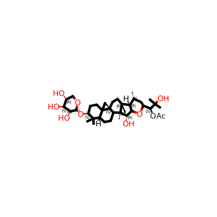 CC(=O)O[C@@H](C1C[C@@H](C)[C@H]2C(O1)[C@H](O)[C@@]1(C)C3CC[C@H]4C(C)(C)[C@@H](O[C@@H]5OC[C@@H](O)[C@H](O)[C@H]5O)CCC45C[C@@]35CC[C@]21C)C(C)(C)O